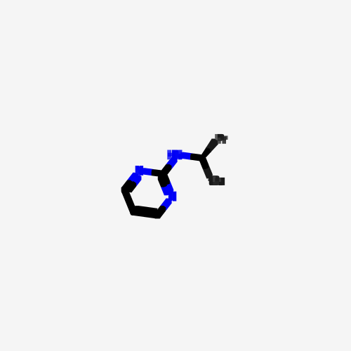 CC(C)[C@H](Nc1ncccn1)C(C)(C)C